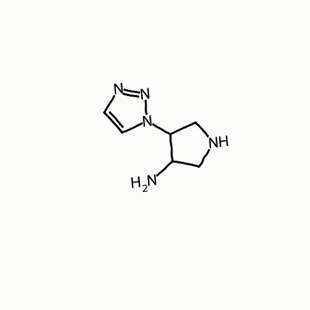 NC1CNCC1n1ccnn1